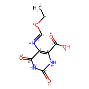 CCO/C=N/c1c(C(=O)O)[nH]c(=O)[nH]c1=O